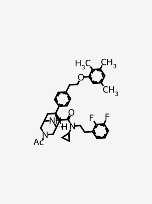 CC(=O)N1CC2CC(c3ccc(CCOc4cc(C)cc(C)c4C)cc3)=C(C(=O)N(CCc3cccc(F)c3F)C3CC3)[C@@H](C1)N2